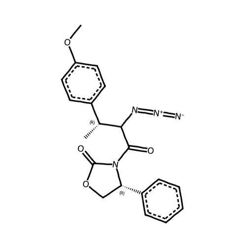 COc1ccc([C@@H](C)C(N=[N+]=[N-])C(=O)N2C(=O)OC[C@H]2c2ccccc2)cc1